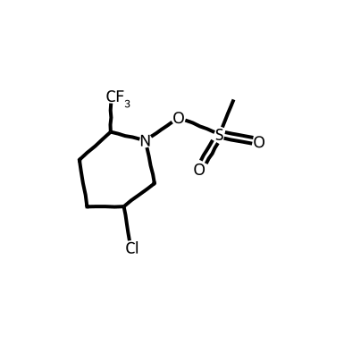 CS(=O)(=O)ON1CC(Cl)CCC1C(F)(F)F